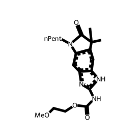 CCCCCN1C(=O)C(C)(C)c2cc3[nH]c(NC(=O)OCCOC)nc3cc21